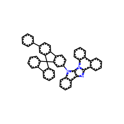 c1ccc(-c2ccc3c(c2)C2(c4ccccc4-c4ccccc42)c2cc(-n4c5ccccc5c5nc6c7ccccc7c7ccccc7n6c54)ccc2-3)cc1